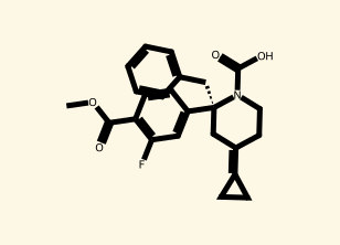 COC(=O)c1ccc([C@]2(Cc3ccccc3)CC(=C3CC3)CCN2C(=O)O)cc1F